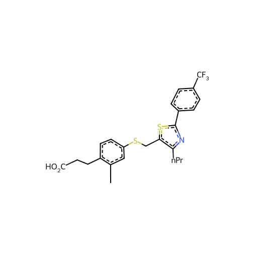 CCCc1nc(-c2ccc(C(F)(F)F)cc2)sc1CSc1ccc(CCC(=O)O)c(C)c1